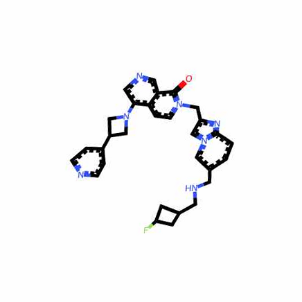 O=c1c2cncc(N3CC(c4ccncc4)C3)c2ccn1Cc1cn2cc(CNCC3CC(F)C3)ccc2n1